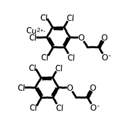 O=C([O-])COc1c(Cl)c(Cl)c(Cl)c(Cl)c1Cl.O=C([O-])COc1c(Cl)c(Cl)c(Cl)c(Cl)c1Cl.[Cu+2]